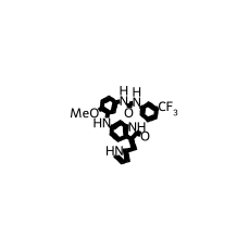 COc1ccc(NC(=O)Nc2cccc(C(F)(F)F)c2)cc1Nc1ccc2c(c1)NC(=O)C2=Cc1ccc[nH]1